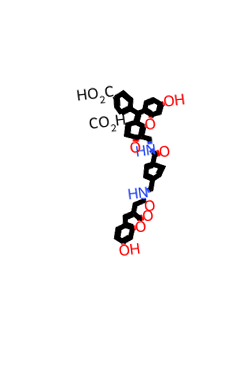 O=C(Cc1cc2ccc(O)cc2oc1=O)NCc1ccc(C(=O)NCc2c3oc4cc(O)ccc4c(-c4ccc(C(=O)O)cc4C(=O)O)c-3ccc2=O)cc1